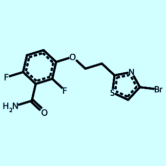 NC(=O)c1c(F)ccc(OCCc2nc(Br)cs2)c1F